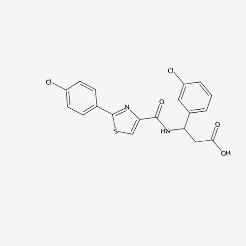 O=C(O)CC(NC(=O)c1csc(-c2ccc(Cl)cc2)n1)c1cccc(Cl)c1